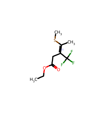 CCOC(=O)C/C(=C(/C)SC)C(F)(F)F